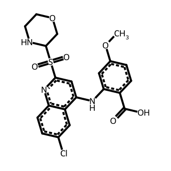 COc1ccc(C(=O)O)c(Nc2cc(S(=O)(=O)C3COCCN3)nc3ccc(Cl)cc23)c1